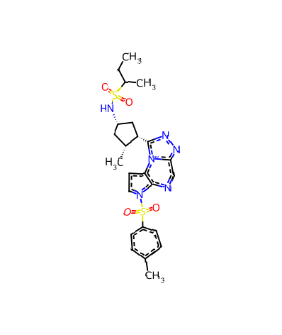 CCC(C)S(=O)(=O)N[C@H]1C[C@@H](C)[C@@H](c2nnc3cnc4c(ccn4S(=O)(=O)c4ccc(C)cc4)n23)C1